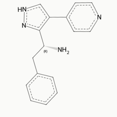 N[C@H](Cc1ccccc1)c1n[nH]cc1-c1ccncc1